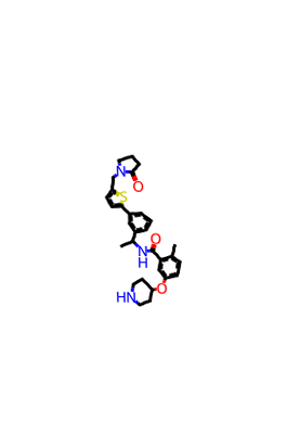 Cc1ccc(OC2CCNCC2)cc1C(=O)NC(C)c1cccc(-c2ccc(CN3CCCC3=O)s2)c1